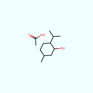 CC(=O)O.CC1CCC(C(C)C)C(O)C1